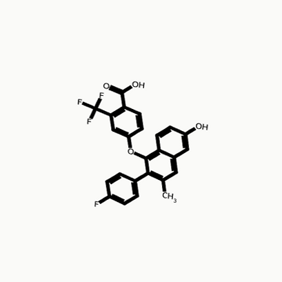 Cc1cc2cc(O)ccc2c(Oc2ccc(C(=O)O)c(C(F)(F)F)c2)c1-c1ccc(F)cc1